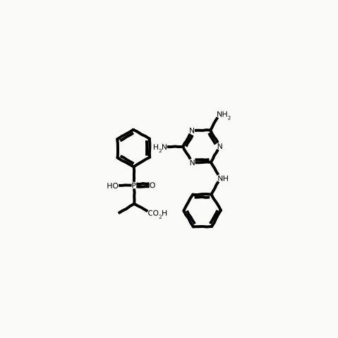 CC(C(=O)O)P(=O)(O)c1ccccc1.Nc1nc(N)nc(Nc2ccccc2)n1